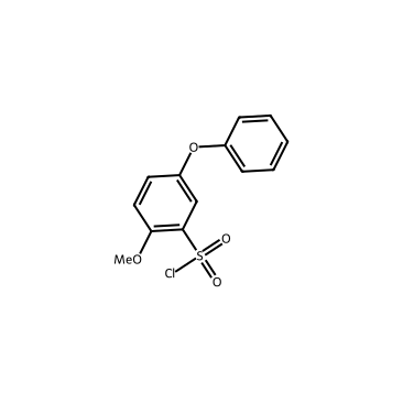 COc1ccc(Oc2ccccc2)cc1S(=O)(=O)Cl